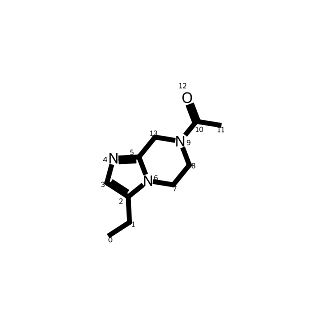 CCc1cnc2n1CCN(C(C)=O)C2